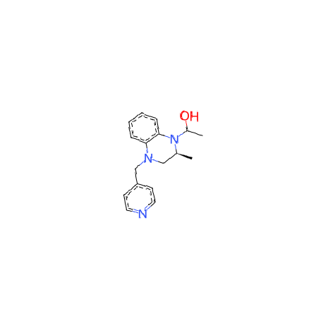 CC(O)N1c2ccccc2N(Cc2ccncc2)C[C@@H]1C